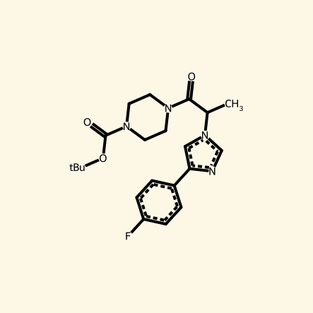 CC(C(=O)N1CCN(C(=O)OC(C)(C)C)CC1)n1cnc(-c2ccc(F)cc2)c1